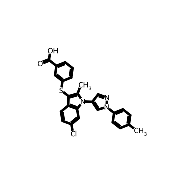 Cc1ccc(-n2cc(-n3c(C)c(Sc4cccc(C(=O)O)c4)c4ccc(Cl)cc43)cn2)cc1